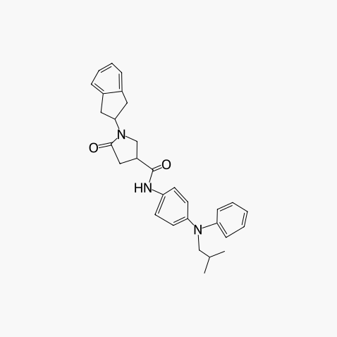 CC(C)CN(c1ccccc1)c1ccc(NC(=O)C2CC(=O)N(C3Cc4ccccc4C3)C2)cc1